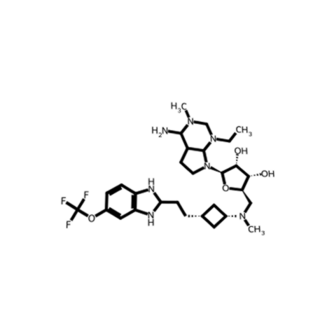 CCN1CN(C)C(N)C2CCN([C@@H]3O[C@H](CN(C)[C@H]4C[C@@H](CCC5Nc6ccc(OC(F)(F)F)cc6N5)C4)[C@@H](O)[C@H]3O)C21